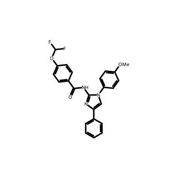 COc1ccc(-n2cc(-c3ccccc3)nc2NC(=O)c2ccc(OC(F)F)cc2)cc1